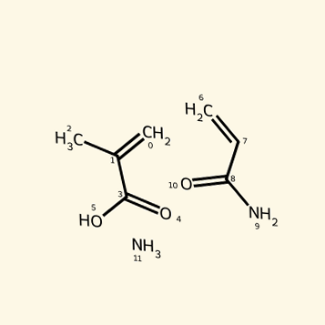 C=C(C)C(=O)O.C=CC(N)=O.N